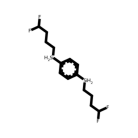 FC(F)CCC[SiH2]c1ccc([SiH2]CCCC(F)F)cc1